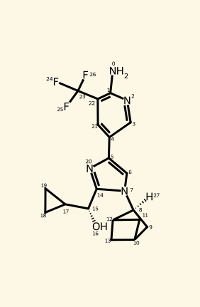 Nc1ncc(-c2cn([C@H]3CC4CC3C4)c([C@H](O)C3CC3)n2)cc1C(F)(F)F